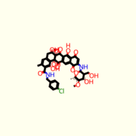 CO[C@H]1[C@H](C)OC(NC2=CC(=O)c3c(cc4c(c3O)C(=O)[C@]3(OC)[C@H](O)Cc5cc(C)c(C(=O)NCc6ccc(Cl)cc6)c(O)c5[C@]3(O)C4=O)C2=O)C(CO)[C@@H]1O